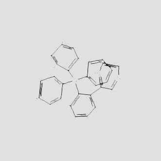 c1ccc([Si](c2ccccc2)(c2ccccc2)c2ccccc2-c2cnccn2)cc1